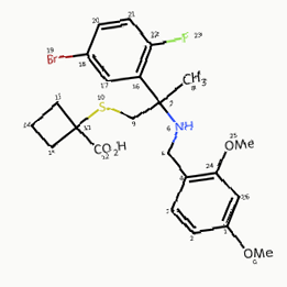 COc1ccc(CNC(C)(CSC2(C(=O)O)CCC2)c2cc(Br)ccc2F)c(OC)c1